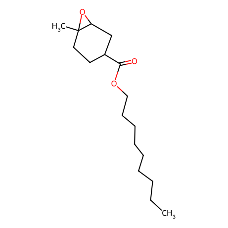 CCCCCCCCCOC(=O)C1CCC2(C)OC2C1